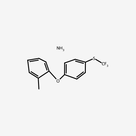 Cc1ccccc1Oc1ccc(SC(F)(F)F)cc1.N